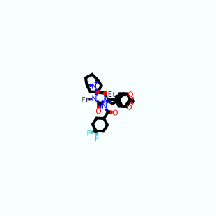 CCN1C(=O)N(CC2(CC)COCOC2)CC12CC1CCC(C2)N1CC[C@H](NC(=O)C1CCC(F)(F)CC1)c1ccccc1